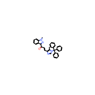 Cc1c(C=CC(=O)c2nn(C)c3ccccc23)ncn1C(c1ccccc1)(c1ccccc1)c1ccccc1